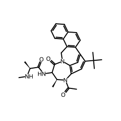 CN[C@@H](C)C(=O)NC1C(=O)N2Cc3c(ccc4ccccc34)-c3cc2c(cc3C(C)(C)C)N(C(C)=O)[C@H]1C